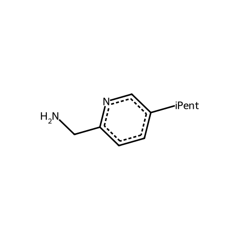 CCCC(C)c1ccc(CN)nc1